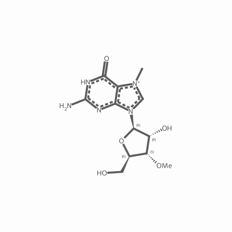 CO[C@H]1[C@@H](O)[C@H](n2c[n+](C)c3c(=O)[nH]c(N)nc32)O[C@@H]1CO